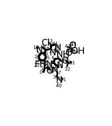 C=CC(=O)Nc1cc(Nc2ncc(Cl)c(-c3cn(C)c4cc(F)c(F)cc34)n2)c(OC(C)C)nc1N(C)CCN(C)C.CS(=O)(=O)O